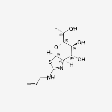 C=CCNC1=N[C@@H]2[C@@H](O)[C@H](O)[C@@H]([C@H](C)O)O[C@@H]2S1